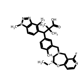 CC[C@@H]1CN(Cc2cc(C(c3ccc4c(nnn4C)c3C)C(C)(C)C(=O)O)ccc2C)Cc2c(ccnc2F)O1